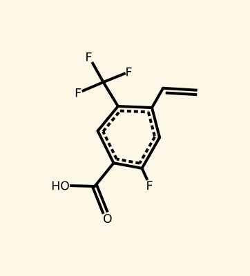 C=Cc1cc(F)c(C(=O)O)cc1C(F)(F)F